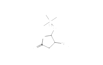 C[PH](C)(C)OC1OC(=O)CC1N